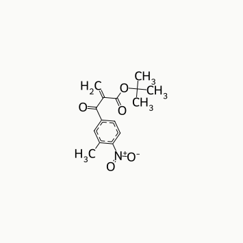 C=C(C(=O)OC(C)(C)C)C(=O)c1ccc([N+](=O)[O-])c(C)c1